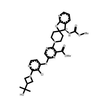 COC(=O)c1nc(Sc2ccnc(N3CC(C(C)(C)O)C3)c2Cl)cnc1N1CCC2(CC1)Oc1ncccc1[C@H]2NC(=O)OC(C)(C)C